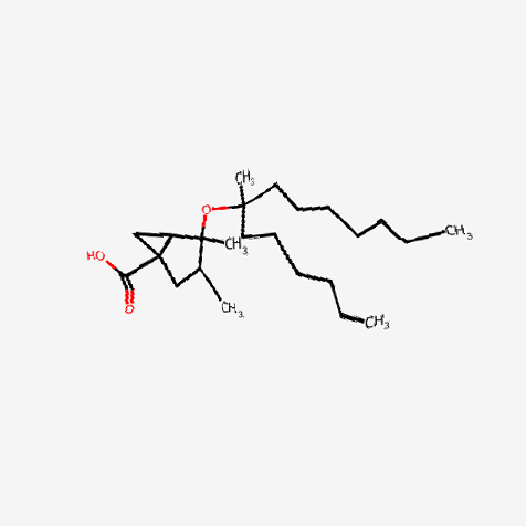 CCCCCCCC(C)(CCCCCC)OC1(C)C(C)CC2(C(=O)O)CC21